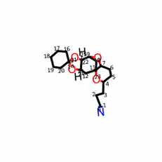 N#CCCC1CCC2OC3CC2(C[C@H]2OC4(CCCCC4)O[C@@H]32)O1